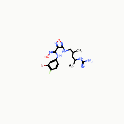 CC(CNc1nonc1/C(=N/O)Nc1ccc(F)c(Br)c1)CC(C)NC(=N)N